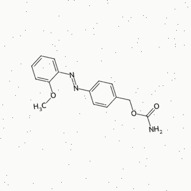 COc1ccccc1N=Nc1ccc(COC(N)=O)cc1